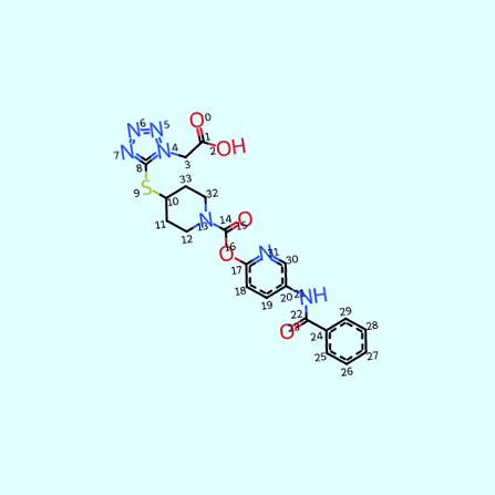 O=C(O)Cn1nnnc1SC1CCN(C(=O)Oc2ccc(NC(=O)c3ccccc3)cn2)CC1